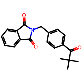 CC(C)(C)C(=O)c1ccc(CN2C(=O)c3ccccc3C2=O)cc1